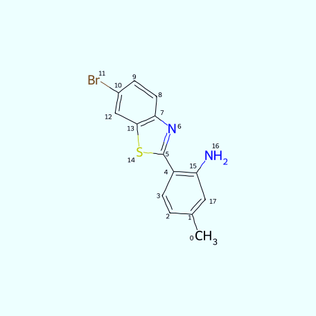 Cc1ccc(-c2nc3ccc(Br)cc3s2)c(N)c1